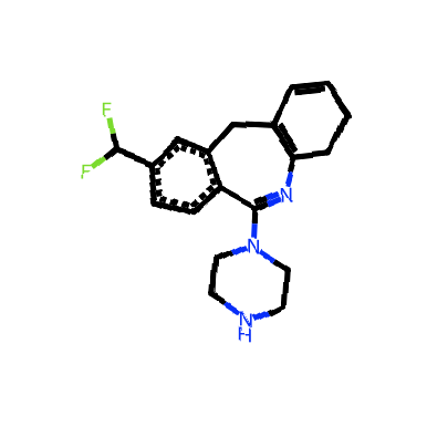 FC(F)c1ccc2c(c1)CC1=C(CCC=C1)N=C2N1CCNCC1